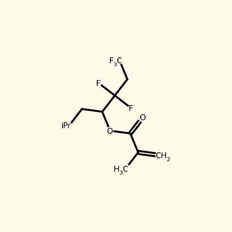 C=C(C)C(=O)OC(CC(C)C)C(F)(F)CC(F)(F)F